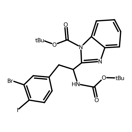 CC(C)(C)OC(=O)NC(Cc1ccc(I)c(Br)c1)c1nc2ccccc2n1C(=O)OC(C)(C)C